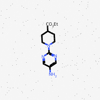 CCOC(=O)C1CCN(c2ncc(N)cn2)CC1